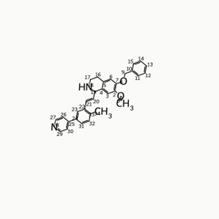 COc1cc2c(cc1OCc1ccccc1)CCNC2/C=C/c1cc(-c2ccncc2)ccc1C